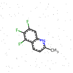 Cc1ccc2c(F)c(F)c(F)cc2n1